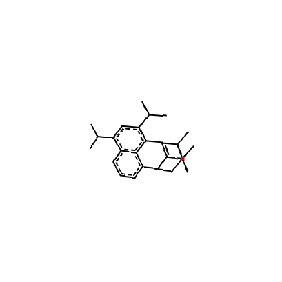 CC(C)C1=C2c3c(C(C)C)cc(C(C)C)c4cccc(c34)C1CCC2C